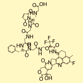 CC[C@@]1(O)C(=O)OCc2c1cc1n(c2=O)Cc2c-1nc1cc(F)c(C)c3c1c2[C@@H](NC(=O)[C@@H](OCNC(=O)CNC(=O)[C@H](Cc1ccccc1)NC(=O)CNC(=O)CNC(=O)[C@@H](CNCC(=O)O)N1C(=O)C=CC1=O)C(F)(F)F)CC3